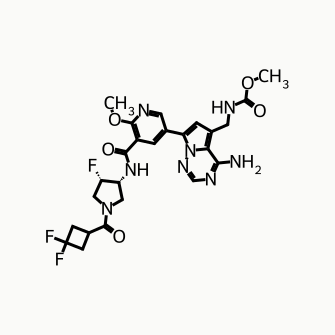 COC(=O)NCc1cc(-c2cnc(OC)c(C(=O)N[C@@H]3CN(C(=O)C4CC(F)(F)C4)C[C@@H]3F)c2)n2ncnc(N)c12